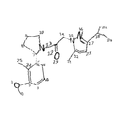 COc1cccc([C@@H]2CCCN2C(=O)Cn2nc(C(C)C)cc2C)c1C